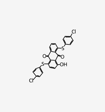 O=C1c2c(Sc3ccc(Cl)cc3)cccc2C(=O)c2c(Sc3ccc(Cl)cc3)ccc(O)c21